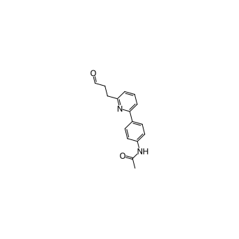 CC(=O)Nc1ccc(-c2cccc(CCC=O)n2)cc1